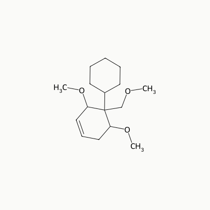 COCC1(C2CCCCC2)C(OC)C=CCC1OC